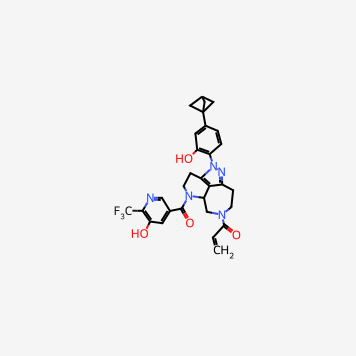 C=CC(=O)N1CCc2nn(-c3ccc(C45CC(C4)C5)cc3O)c3c2C(C1)N(C(=O)c1cnc(C(F)(F)F)c(O)c1)CC3